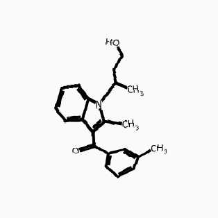 Cc1cccc(C(=O)c2c(C)n(C(C)CCO)c3ccccc23)c1